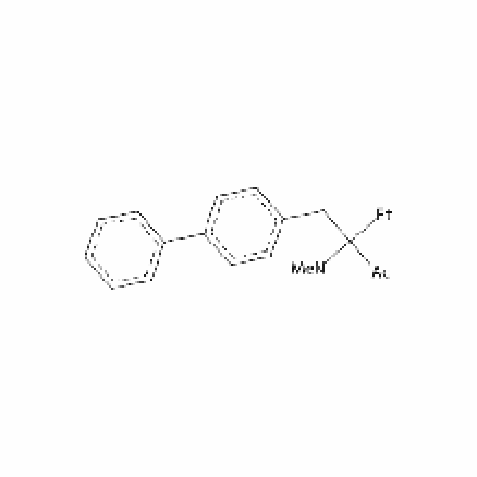 CCC(Cc1ccc(-c2ccccc2)cc1)(NC)C(C)=O